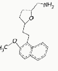 COc1ccc2ccccc2c1CCC1CCC(CN)O1